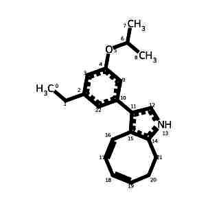 CCc1cc(OC(C)C)cc(-c2c[nH]c3c2/C=C\C=C/CC3)c1